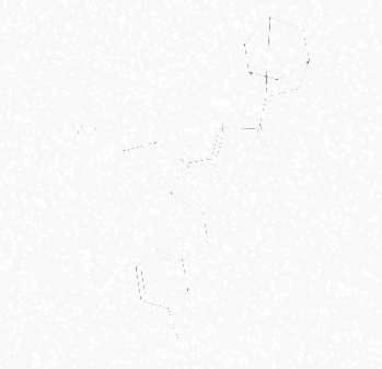 COCCn1cc(Cc2cccc(F)c2)s/c1=N\C(=O)C12CC3CC(CC1C3)C2